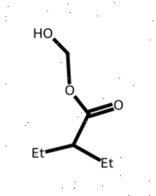 CCC(CC)C(=O)OCO